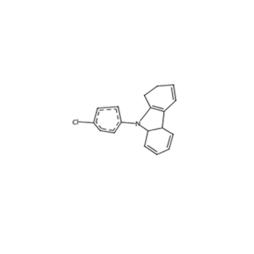 Clc1ccc(N2C3=C(C=CCC3)C3C=CC=CC32)cc1